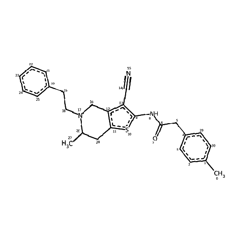 Cc1ccc(CC(=O)Nc2sc3c(c2C#N)CN(CCc2ccccc2)C(C)C3)cc1